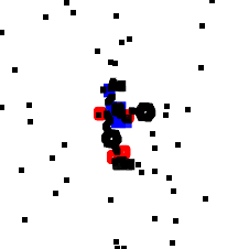 CC(=O)N(C)CCNC(=O)[C@H](Cc1ccc(C(=O)OC(C)(C)C)cc1)NC(=O)OCc1ccccc1